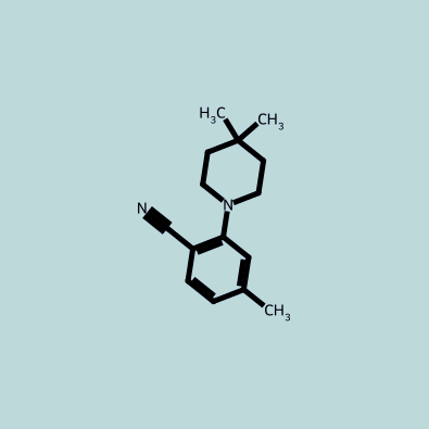 Cc1ccc(C#N)c(N2CCC(C)(C)CC2)c1